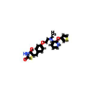 CN(CCOc1ccc(CC2SC(=O)NC2=O)cc1)c1cccnc1Oc1ccsc1